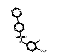 O=C(O)c1ccc(NS(=O)(=O)c2ccc(-c3cncnc3)cn2)cc1F